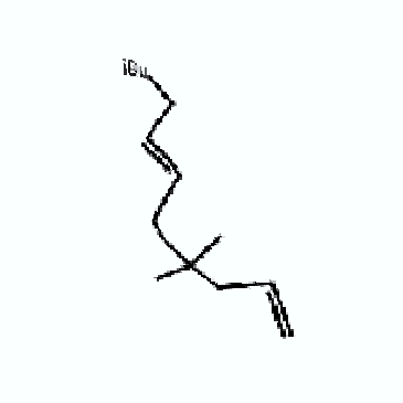 C=CCC(C)(C)CC=CCC(C)CC